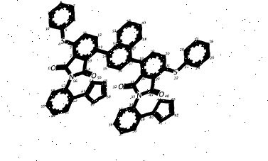 O=C1c2c(Sc3ccccc3)ccc(-c3ccc(-c4ccc(Sc5ccccc5)c5c4C(=O)N(c4ccccc4C4=CC=CC4)C5=O)c4ccccc34)c2C(=O)N1c1ccccc1C1=CC=CC1